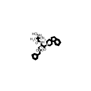 CC(C)(N)C(=O)N[C@H](CS(=O)(=O)Cc1ccccc1)C(=O)N1CCC2(CCc3ccccc32)CC1.Cl